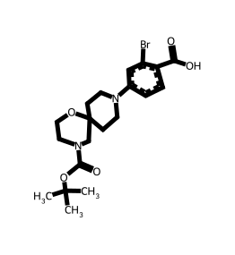 CC(C)(C)OC(=O)N1CCOC2(CCN(c3ccc(C(=O)O)c(Br)c3)CC2)C1